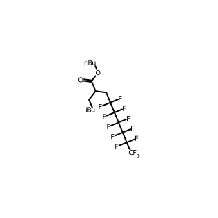 CCCCOC(=O)C(CC(C)CC)CC(F)(F)C(F)(F)C(F)(F)C(F)(F)C(F)(F)C(F)(F)F